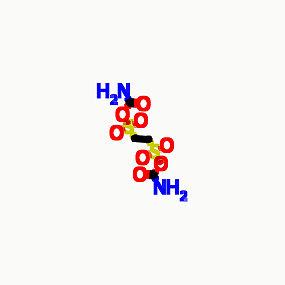 NC(=O)OS(=O)(=O)CCS(=O)(=O)OC(N)=O